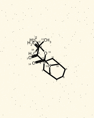 C=CC(=O)N1CC2CCCC(C1)N2C(=O)OC(C)(C)C